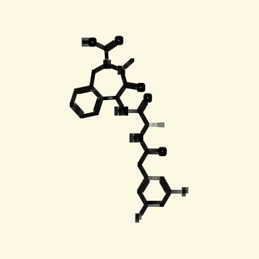 C[C@H](NC(=O)Cc1cc(F)cc(F)c1)C(=O)NC1C(=O)N(C)N(C(=O)O)Cc2ccccc21